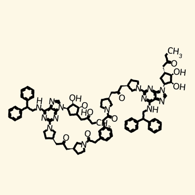 CCC(=O)CC1C[C@@H](n2cnc3c(NCC(c4ccccc4)c4ccccc4)nc(N4CC[C@H](CC(=O)C[C@@H]5CCN(C(=O)Cc6cccc(CC(=O)N7CC[C@@H](CC(=O)C[C@H]8CCN(c9nc(NCC(c%10ccccc%10)c%10ccccc%10)c%10ncn([C@@H]%11C[C@H](CC(=O)CC)[C@@H](O)[C@H]%11O)c%10n9)C8)C7)c6)C5)C4)nc32)[C@H](O)[C@@H]1O